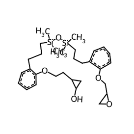 C[Si](C)(CCCc1ccccc1OCCC1CC1O)O[Si](C)(C)CCCc1ccccc1OCC1CO1